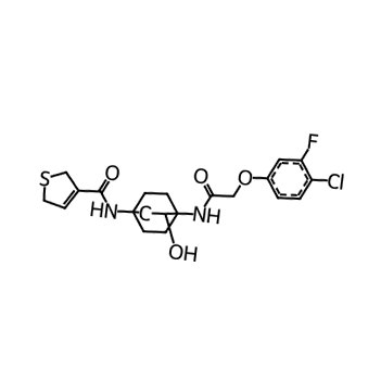 O=C(COc1ccc(Cl)c(F)c1)NC12CCC(NC(=O)C3=CCSC3)(CC1)CC2O